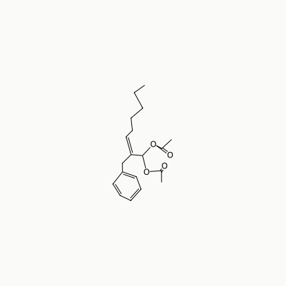 CCCCCC=C(Cc1ccccc1)C(OC(C)=O)OC(C)=O